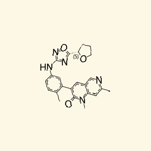 Cc1cc2c(cn1)cc(-c1cc(Nc3noc([C@@H]4CCCO4)n3)ccc1C)c(=O)n2C